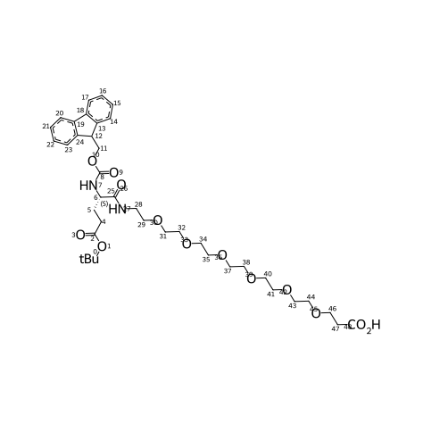 CC(C)(C)OC(=O)CC[C@H](NC(=O)OCC1c2ccccc2-c2ccccc21)C(=O)NCCOCCOCCOCCOCCOCCOCCC(=O)O